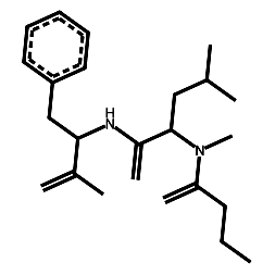 C=C(C)C(Cc1ccccc1)NC(=C)C(CC(C)C)N(C)C(=C)CCC